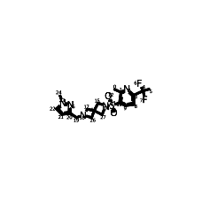 Cc1nc(C(C)(F)F)ccc1S(=O)(=O)N1CC2(CN(Cc3ccn(C)n3)C2)C1